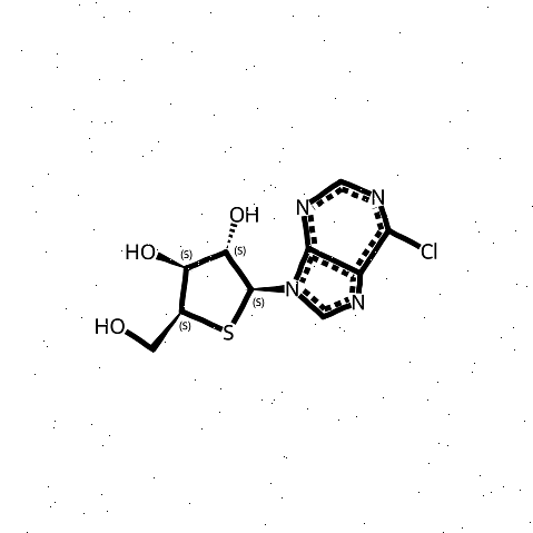 OC[C@@H]1S[C@H](n2cnc3c(Cl)ncnc32)[C@@H](O)[C@@H]1O